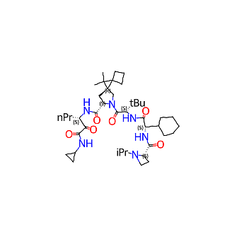 CCC[C@H](NC(=O)[C@@H]1C[C@@]2(CN1C(=O)[C@@H](NC(=O)[C@@H](NC(=O)[C@@H]1CCN1C(C)C)C1CCCCC1)C(C)(C)C)C(C)(C)C21CCC1)C(=O)C(=O)NC1CC1